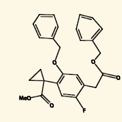 COC(=O)C1(c2cc(F)c(CC(=O)OCc3ccccc3)cc2OCc2ccccc2)CC1